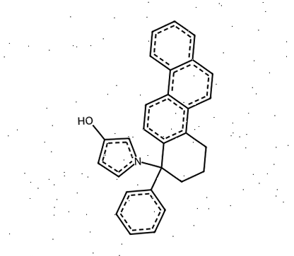 Oc1ccn(C2(c3ccccc3)CCCc3c2ccc2c3ccc3ccccc32)c1